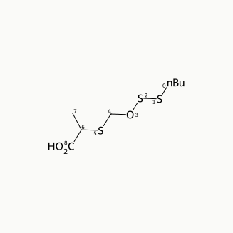 CCCCSSOCSC(C)C(=O)O